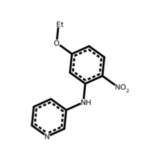 CCOc1ccc([N+](=O)[O-])c(Nc2cccnc2)c1